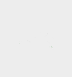 CC1=C(c2ccc(Cl)cc2)c2cc(Br)ccc2C1